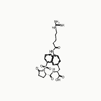 N=C(N)NCCCCC(=O)Nc1ccc(C[C@H](NC(=O)[C@@H]2CCC(=O)N2S(=O)(=O)c2ccccc2)C(=O)O)cc1